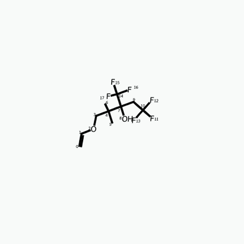 C=COCC(C)(C)C(O)(CC(F)(F)F)C(F)(F)F